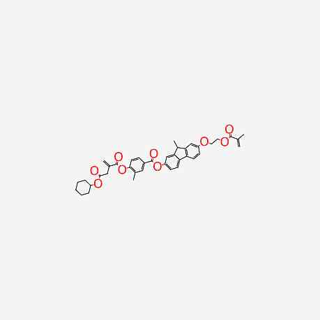 C=C(C)C(=O)OCCOc1ccc2c(c1)C(C)c1cc(OC(=O)c3ccc(OC(=O)C(=C)CC(=O)OC4CCCCC4)c(C)c3)ccc1-2